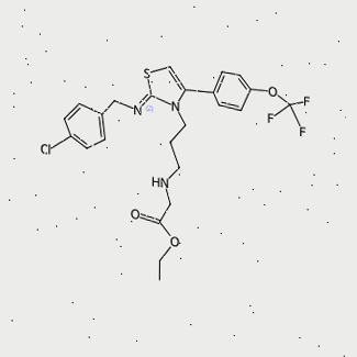 CCOC(=O)CNCCCn1c(-c2ccc(OC(F)(F)F)cc2)cs/c1=N\Cc1ccc(Cl)cc1